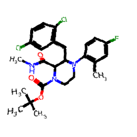 CNC(=O)C1C(Cc2cc(Cl)ccc2Cl)N(c2ccc(F)cc2C)CCN1C(=O)OC(C)(C)C